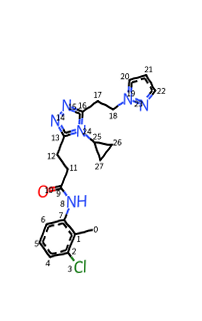 Cc1c(Cl)cccc1NC(=O)CCc1nnc(CCn2cccn2)n1C1CC1